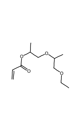 C=CC(=O)OC(C)COC(C)COCC